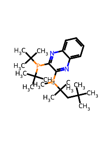 CP(c1nc2ccccc2nc1P(C(C)(C)C)C(C)(C)C)C(C)(C)CC(C)(C)C